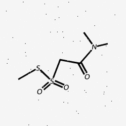 CSS(=O)(=O)CC(=O)N(C)C